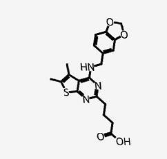 Cc1sc2nc(CCCC(=O)O)nc(NCc3ccc4c(c3)OCO4)c2c1C